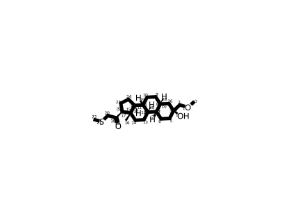 COC[C@]1(O)CC[C@H]2[C@@H](CC[C@@H]3[C@@H]2CC[C@]2(C)[C@@H](C(=O)CSC)CC[C@@H]32)C1